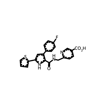 O=C(O)c1ccc(CNC(=O)c2[nH]c(-c3cccs3)cc2-c2ccc(F)cc2)nc1